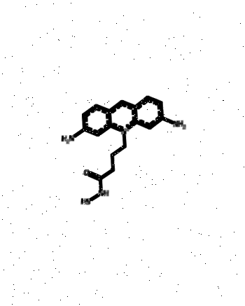 Nc1ccc2cc3ccc(N)cc3[n+](CCCC(=O)NS)c2c1